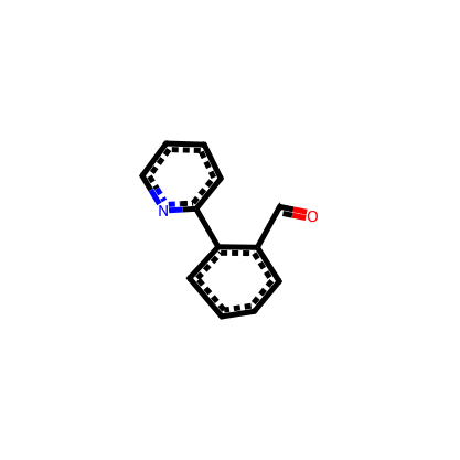 O=[C]c1ccccc1-c1ccccn1